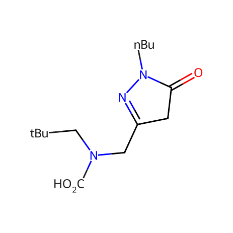 CCCCN1N=C(CN(CC(C)(C)C)C(=O)O)CC1=O